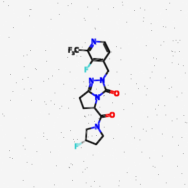 O=C(C1CCc2nn(Cc3ccnc(C(F)(F)F)c3F)c(=O)n21)N1CC[C@H](F)C1